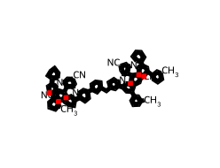 Cc1cccc(-c2ccc3c(c2)c2ccccc2n3-c2cc(C#N)cc(-n3c4ccc(Cc5cccc(-c6ccc7c8ccccc8n(-c8cc(C#N)cc(-n9c%10ccccc%10c%10ccc(-c%11cccc(C)c%11)cc%109)c8-c8cccc(C#N)c8)c7c6)c5)cc4c4cc(-c5cccc(C)c5)ccc43)c2-c2cccc(C#N)c2)c1